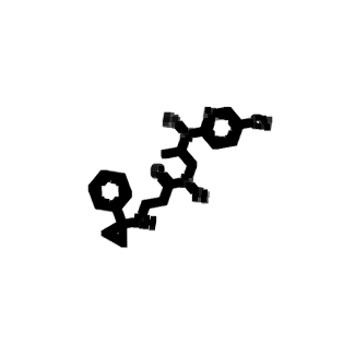 CCN(CC(C)N(CC)c1ccc(C#N)cn1)C(=O)CCNC1(c2ccccc2)CC1